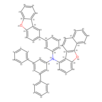 c1ccc(-c2cc(-c3ccccc3)cc(N(c3cccc(-c4ccc5oc6ccccc6c5c4)c3)c3cccc4oc5c6ccccc6ccc5c34)c2)cc1